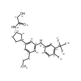 CCCc1cc(N2CC[C@H](NC(=O)CO)C2)nc(Nc2ccc(F)c(C(F)(F)F)c2)n1